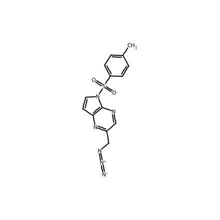 Cc1ccc(S(=O)(=O)n2ccc3nc(CN=[N+]=[N-])cnc32)cc1